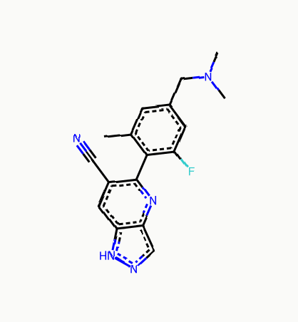 Cc1cc(CN(C)C)cc(F)c1-c1nc2cn[nH]c2cc1C#N